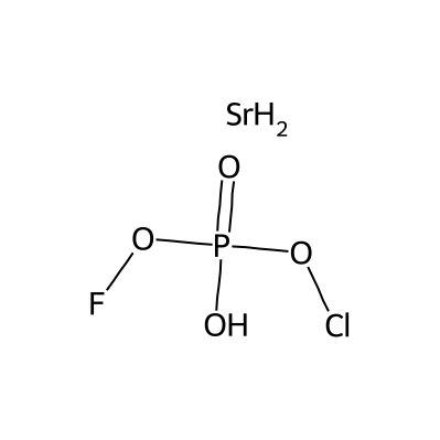 O=P(O)(OF)OCl.[SrH2]